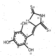 Oc1cc(O)c(C=C2SC(=S)NC2=S)c(O)c1